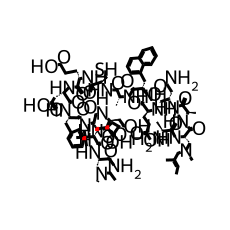 C/C=C(\C)CN(C)C[C@H](NC(=O)[C@H](C)N)C(=O)N[C@H](C)C(=O)N[C@@H](CC(N)=O)C(=O)N[C@@H](CCC(=O)O)C(=O)N[C@@H](Cc1cccc2ccccc12)C(=O)N[C@H](C)C(=O)N[C@H](CS)C(=O)N[C@@H](CCC(=O)O)C(=O)N[C@@H](CC(=O)O)C(=O)N[C@@H](Cc1ccccc1)C(=O)N[C@@H](CC1CC[C@@H]1O)C(=O)N[C@@H](CC(=O)O)C(=O)N[C@H](C(=O)N[C@@H](CN(C)CC)C(N)=O)C(C)(C)C